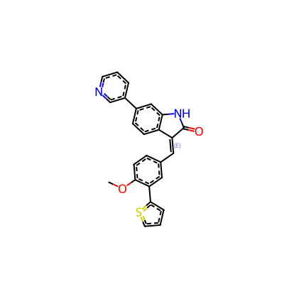 COc1ccc(/C=C2/C(=O)Nc3cc(-c4cccnc4)ccc32)cc1-c1cccs1